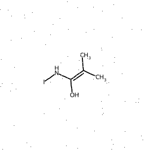 CC(C)=C(O)NI